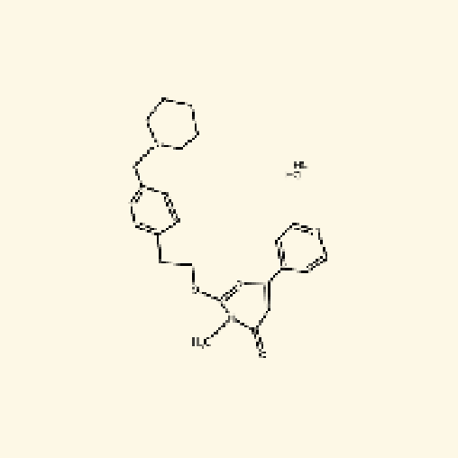 Cl.Cl.Cn1c(OCCc2ccc(CN3CCCCC3)cc2)nc(-c2ccncc2)cc1=O